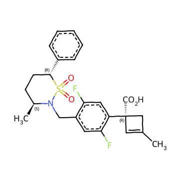 CC1=C[C@@](C(=O)O)(c2cc(F)c(CN3[C@@H](C)CC[C@H](c4ccccc4)S3(=O)=O)cc2F)C1